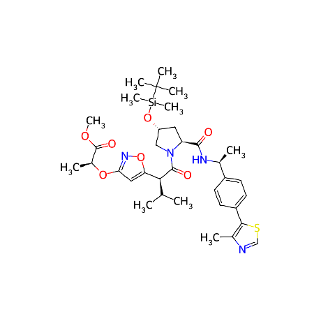 COC(=O)[C@H](C)Oc1cc([C@@H](C(=O)N2C[C@H](O[Si](C)(C)C(C)(C)C)C[C@H]2C(=O)N[C@@H](C)c2ccc(-c3scnc3C)cc2)C(C)C)on1